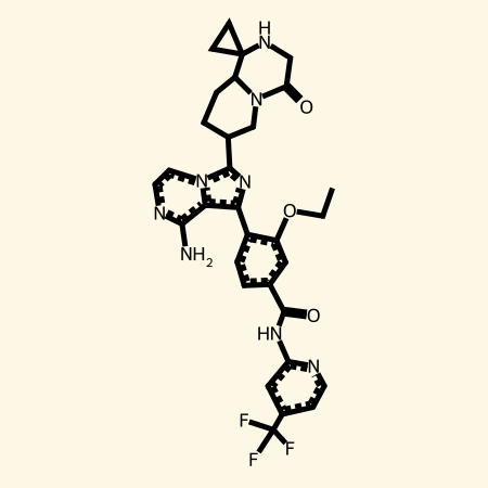 CCOc1cc(C(=O)Nc2cc(C(F)(F)F)ccn2)ccc1-c1nc(C2CCC3N(C2)C(=O)CNC32CC2)n2ccnc(N)c12